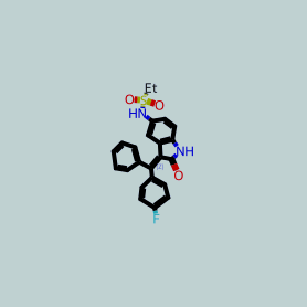 CCS(=O)(=O)Nc1ccc2c(c1)/C(=C(\c1ccccc1)c1ccc(F)cc1)C(=O)N2